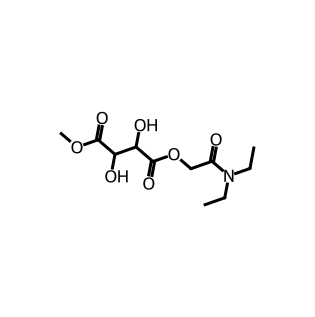 CCN(CC)C(=O)COC(=O)C(O)C(O)C(=O)OC